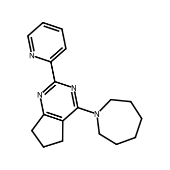 c1ccc(-c2nc3c(c(N4CCCCCC4)n2)CCC3)nc1